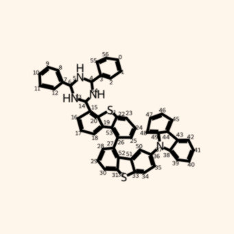 c1ccc(C2NC(c3ccccc3)NC(c3cccc4c3sc3cccc(-c5cccc6sc7ccc(-n8c9ccccc9c9ccccc98)cc7c56)c34)N2)cc1